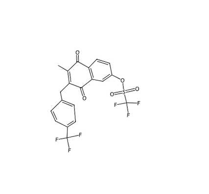 CC1=C(Cc2ccc(C(F)(F)F)cc2)C(=O)c2cc(OS(=O)(=O)C(F)(F)F)ccc2C1=O